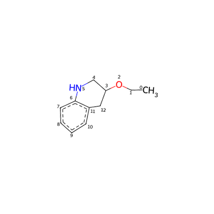 CCOC1CNc2ccccc2C1